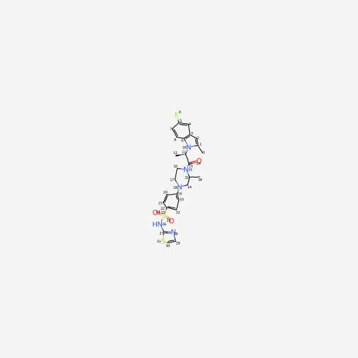 Cc1cc2cc(F)ccc2n1[C@H](C)C(=O)N1CCN(c2ccc(S(=O)(=O)Nc3nccs3)cc2)CC1C